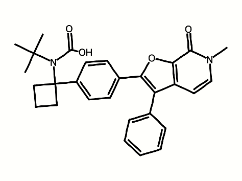 Cn1ccc2c(-c3ccccc3)c(-c3ccc(C4(N(C(=O)O)C(C)(C)C)CCC4)cc3)oc2c1=O